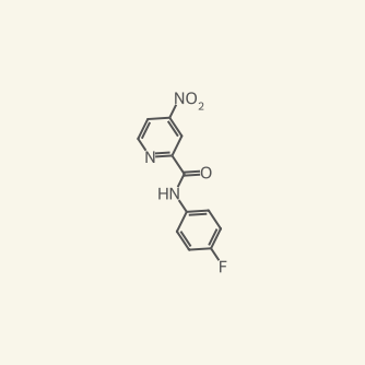 O=C(Nc1ccc(F)cc1)c1cc([N+](=O)[O-])ccn1